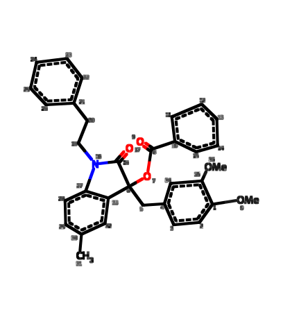 COc1ccc(CC2(OC(=O)c3ccccc3)C(=O)N(CCc3ccccc3)c3ccc(C)cc32)cc1OC